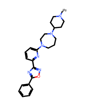 CC(C)N1CCC(N2CCCN(c3cccc(-c4noc(-c5ccccc5)n4)n3)CC2)CC1